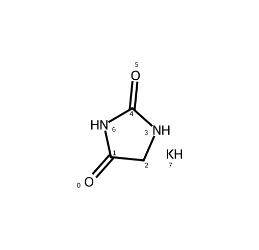 O=C1CNC(=O)N1.[KH]